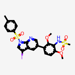 COc1ccc(-c2cnc3c(c2)c(I)cn3S(=O)(=O)c2ccc(C)cc2)c(OC)c1NS(C)(=O)=O